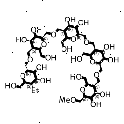 CC[C@@H]1C(CO)O[C@H](COC[C@@H]2C(CO)O[C@H](COC[C@@H]3C(CO)O[C@H](COC[C@@H]4C(CO)O[C@H](COC[C@@H]5C(CO)O[C@H](COC)C(O)[C@@H]5O)C(O)[C@@H]4O)C(O)[C@@H]3O)C(O)[C@@H]2O)C(O)[C@@H]1O